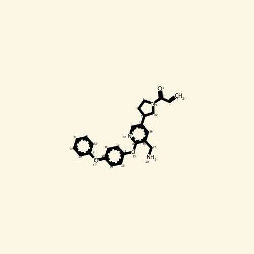 C=CC(=O)N1CCC(c2cnc(Oc3ccc(Oc4ccccc4)cc3)c(CN)c2)C1